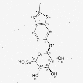 Cc1nc2ccc(O[C@@H]3OC(S(=O)(=O)O)[C@@H](O)[C@H](O)[C@H]3O)cc2s1